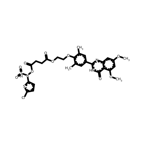 COc1cc(OC)c2c(=O)[nH]c(-c3cc(C)c(OCCOC(=O)CCC(=O)ON(c4ccc(Cl)s4)[SH](=O)=O)c(C)c3)nc2c1